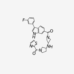 O=C(c1ccc2c(-c3cccc(F)c3)c[nH]c2c1)N1CC(N[C@H]2CCN(C(=O)c3nccs3)C2)C1